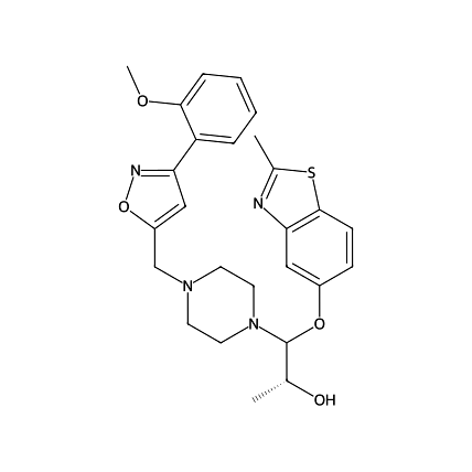 COc1ccccc1-c1cc(CN2CCN(C(Oc3ccc4sc(C)nc4c3)[C@@H](C)O)CC2)on1